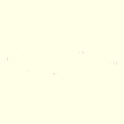 CC#Cc1ccc(O)c(C(=O)c2ccc(C(=O)OC)cc2)c1C